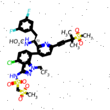 CC(C)(C#Cc1ccc(-c2ccc(Cl)c3c(NS(=O)(=O)CS(C)(=O)=O)nn(CC(F)(F)F)c23)c([C@H](Cc2cc(F)cc(F)c2)NC(=O)O)n1)S(C)(=O)=O